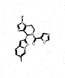 Cc1ccc2cc([C@H]3c4ncn(F)c4CCN3C(=O)c3cnco3)nn2c1